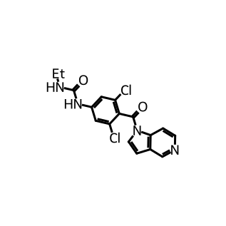 CCNC(=O)Nc1cc(Cl)c(C(=O)n2ccc3cnccc32)c(Cl)c1